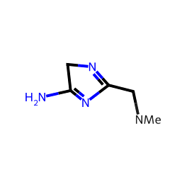 CNCC1=NCC(N)=N1